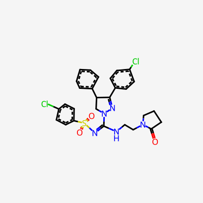 O=C1CCCN1CCN/C(=N/S(=O)(=O)c1ccc(Cl)cc1)N1CC(c2ccccc2)C(c2ccc(Cl)cc2)=N1